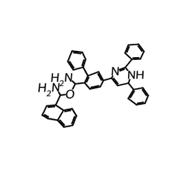 NC(OC(N)c1cccc2ccccc12)c1ccc(C2=CC(c3ccccc3)NC(c3ccccc3)=N2)cc1-c1ccccc1